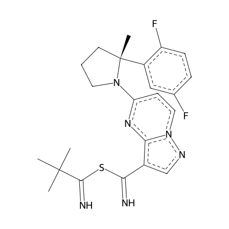 CC(C)(C)C(=N)SC(=N)c1cnn2ccc(N3CCC[C@]3(C)c3cc(F)ccc3F)nc12